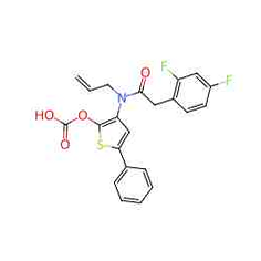 C=CCN(C(=O)Cc1ccc(F)cc1F)c1cc(-c2ccccc2)sc1OC(=O)O